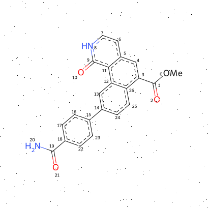 COC(=O)c1cc2cc[nH]c(=O)c2c2cc(-c3ccc(C(N)=O)cc3)ccc12